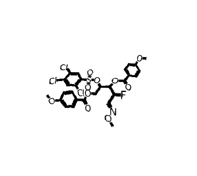 CON=CC(F)C(OC(=O)c1ccc(OC)cc1)C(COC(=O)c1ccc(OC)cc1)OS(=O)(=O)c1cc(Cl)c(Cl)cc1Cl